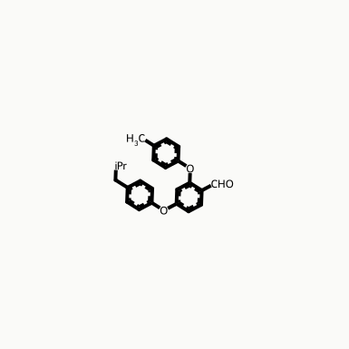 Cc1ccc(Oc2cc(Oc3ccc(CC(C)C)cc3)ccc2C=O)cc1